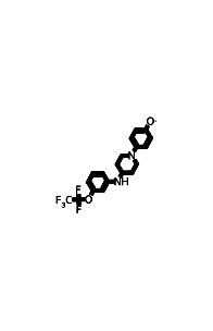 [O]c1ccc(N2CCC(Nc3cccc(OC(F)(F)C(F)(F)F)c3)CC2)cc1